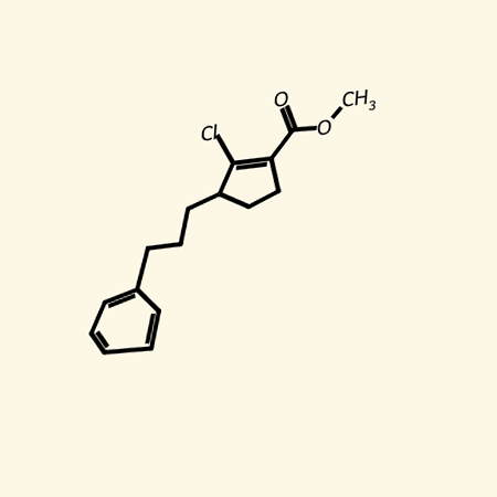 COC(=O)C1=C(Cl)C(CCCc2ccccc2)CC1